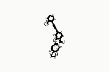 O=c1c2ccc(C#Cc3ccccc3Cl)cc2nc2n1CCC1(CC2)OCCO1